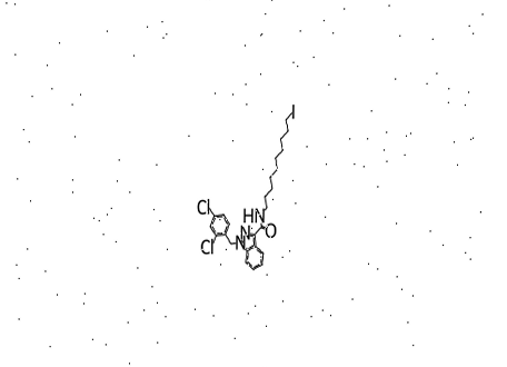 O=C(NCCCCCCCCCCI)c1nn(Cc2ccc(Cl)cc2Cl)c2ccccc12